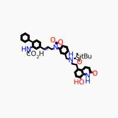 CC(C)(C)[Si](C)(C)OC(CNCc1ccc2oc(=O)n(C/C=C/c3ccc(-c4ccccc4)c(NC(=O)O)c3)c2c1)c1ccc(O)c2[nH]c(=O)ccc12